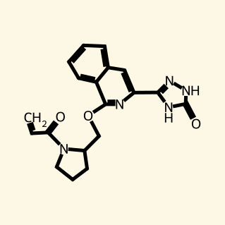 C=CC(=O)N1CCCC1COc1nc(-c2n[nH]c(=O)[nH]2)cc2ccccc12